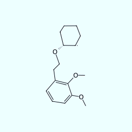 COc1cccc(CCO[C@H]2[CH]CCCC2)c1OC